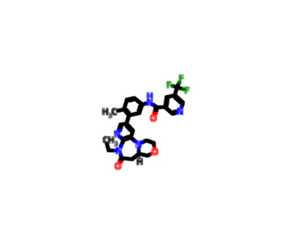 CCN1C(=O)C[C@@H]2COCCN2c2cc(-c3cc(NC(=O)c4cncc(C(F)(F)F)c4)ccc3C)cnc21